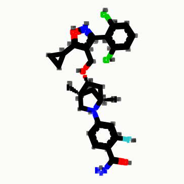 NC(=O)c1ccc(N2C[C@@H]3C[C@H]2C[C@H]3OCc2c(-c3c(Cl)cccc3Cl)noc2C2CC2)cc1F